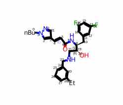 CCCCn1cc(/C=C/C(=O)N[C@@H](Cc2cc(F)cc(F)c2)[C@H](O)CNCc2cccc(CC)c2)cn1